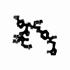 CC1(C)[C@H](NC(=O)/C(=N\OC(COc2ccc(C(=N)NCc3ncc[nH]3)cc2)C(=O)O)c2csc(N)n2)C(=O)N1OS(=O)(=O)O